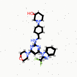 OC1CCCN(C2CCC(CNc3nc(N4CCOCC4)cc(-n4c(C(F)F)nc5ccccc54)n3)CC2)C1